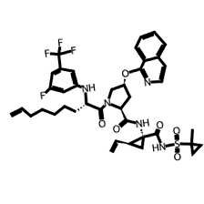 C=CCCCCC[C@H](Nc1cc(F)cc(C(F)(F)F)c1)C(=O)N1C[C@H](Oc2nccc3ccccc23)C[C@H]1C(=O)N[C@]1(C(=O)NS(=O)(=O)C2(C)CC2)C[C@H]1C=C